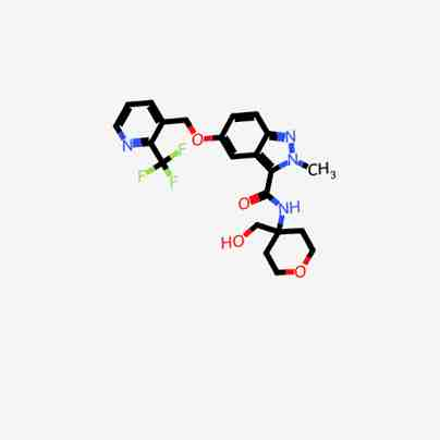 Cn1nc2ccc(OCc3cccnc3C(F)(F)F)cc2c1C(=O)NC1(CO)CCOCC1